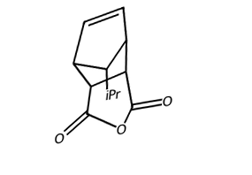 CC(C)C1C2C=CC1C1C(=O)OC(=O)C21